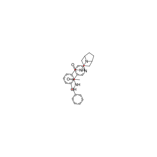 Cc1c(O)cccc1C(=O)NC1CC2CCC(C1)N2c1ccc(C(=O)NCc2ccccc2)cn1